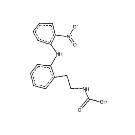 O=C(O)NCCc1ccccc1Nc1ccccc1[N+](=O)[O-]